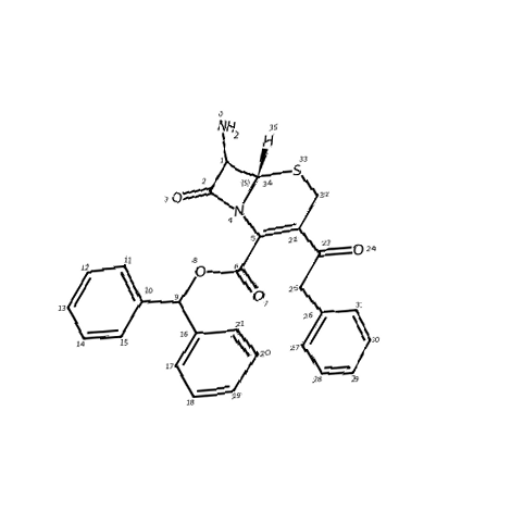 NC1C(=O)N2C(C(=O)OC(c3ccccc3)c3ccccc3)=C(C(=O)Cc3ccccc3)CS[C@@H]12